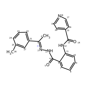 C/C(=N\NC(=O)c1ccccc1NC(=O)c1ccncc1)c1cccc(C)c1